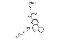 CCCCCCCCCCCCCC(=O)Nc1ccc(N2CCCC2)c(C(=O)NCCCOCC)c1